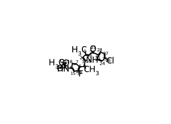 Cc1cc(C(C)c2ccc(NS(C)(=O)=O)cc2F)[nH]c1C(=O)c1ccc(Cl)cc1